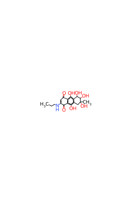 CCCNC1=CC(=O)c2c(O)c3c(c(O)c2C1=O)CC(C)(O)C(O)C3O